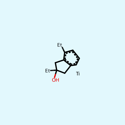 CCc1cccc2c1CC(O)(CC)C2.[Ti]